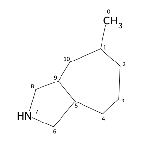 CC1CCCC2CNCC2C1